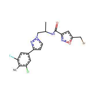 CC(Cn1ccc(-c2cc(F)c(C#N)c(Cl)c2)n1)NC(=O)c1cc(CBr)on1